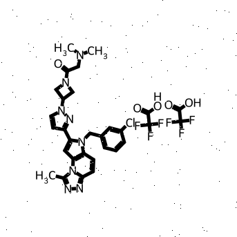 Cc1nnc2ccc3c(cc(-c4ccn(C5CN(C(=O)CN(C)C)C5)n4)n3Cc3cccc(Cl)c3)n12.O=C(O)C(F)(F)F.O=C(O)C(F)(F)F